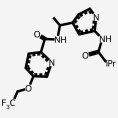 CC(C)C(=O)Nc1cc(C(C)NC(=O)c2ccc(OCC(F)(F)F)cn2)ccn1